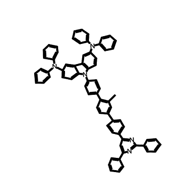 Cc1cc(-c2ccc(-c3cc(-c4ccccc4)nc(-c4ccccc4)n3)cc2)ccc1-c1ccc(-n2c3ccc(N(c4ccccc4)c4ccccc4)cc3c3cc(N(c4ccccc4)c4ccccc4)ccc32)cc1